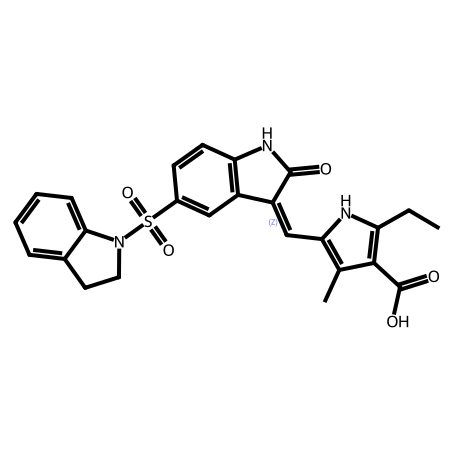 CCc1[nH]c(/C=C2\C(=O)Nc3ccc(S(=O)(=O)N4CCc5ccccc54)cc32)c(C)c1C(=O)O